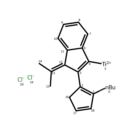 CCCCC1=C(C2=[C]([Ti+2])c3ccccc3C2=C(C)C)CC=C1.[Cl-].[Cl-]